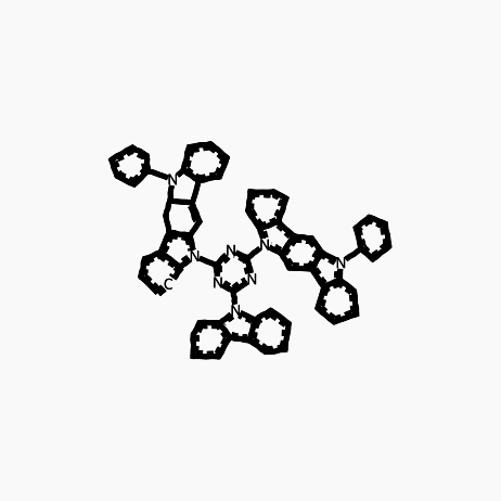 C1=C2c3ccccc3N(c3ccccc3)C2Cc2c1n(-c1nc(-n3c4ccccc4c4ccccc43)nc(-n3c4ccccc4c4cc5c(cc43)c3ccccc3n5-c3ccccc3)n1)c1ccccc21